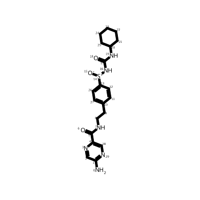 Nc1cnc(C(=O)NCCc2ccc([S+]([O-])NC(=O)NC3CCCCC3)cc2)cn1